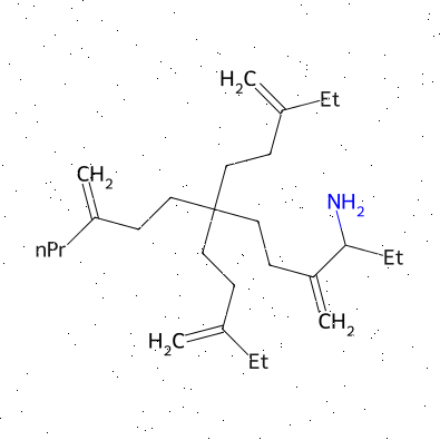 C=C(CC)CCC(CCC(=C)CC)(CCC(=C)CCC)CCC(=C)C(N)CC